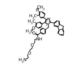 COc1ccc(-c2nc(-c3ccc4c(c3)-c3ccccc3C4)n(Cc3ccc(C(=O)NCCOCCOCCN)cc3)c2-c2ccc(OC)c(C)c2)cc1C